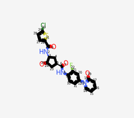 O=C(N[C@H]1C[C@@H](C(=O)Nc2ccc(-n3ccccc3=O)cc2F)CC1=O)c1ccc(Cl)s1